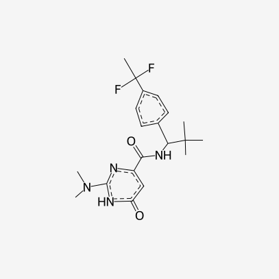 CN(C)c1nc(C(=O)NC(c2ccc(C(C)(F)F)cc2)C(C)(C)C)cc(=O)[nH]1